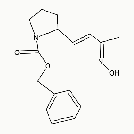 CC(C=CC1CCCN1C(=O)OCc1ccccc1)=NO